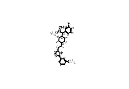 Cc1cccc(-c2noc(CCC3CCC(C(c4cccc(F)c4)N(C)C)CC3)n2)c1